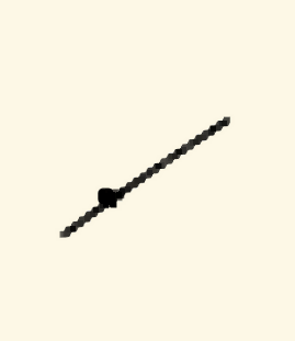 CCCCCCCCCCCCCCCCCCCCCCCCCCCCCCCCCC=[N+]([O-])CCCCCCCCCCCCCC